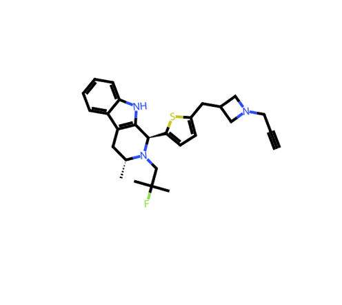 C#CCN1CC(Cc2ccc([C@@H]3c4[nH]c5ccccc5c4C[C@@H](C)N3CC(C)(C)F)s2)C1